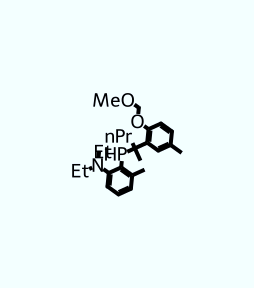 CCCC(C)(Pc1c(C)cccc1N(CC)CC)c1cc(C)ccc1OCOC